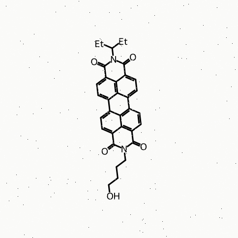 CCC(CC)N1C(=O)c2ccc3c4ccc5c6c(ccc(c7ccc(c2c37)C1=O)c64)C(=O)N(CCCCO)C5=O